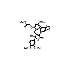 COC(=O)COc1cc(OC)ccc1CC1=C(c2ccc3nsnc3c2)C(=O)OC1(O)c1ccc(OC)c(OC)c1